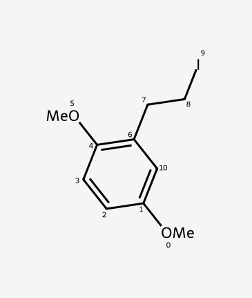 COc1ccc(OC)c(CCI)c1